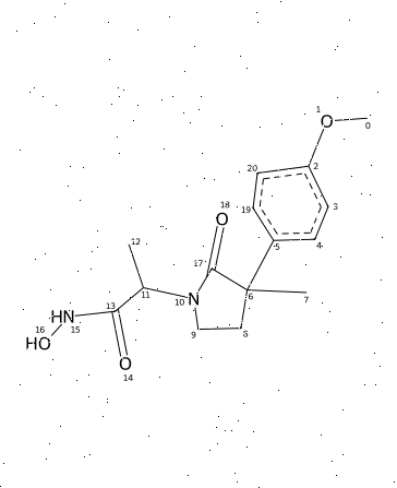 COc1ccc(C2(C)CCN(C(C)C(=O)NO)C2=O)cc1